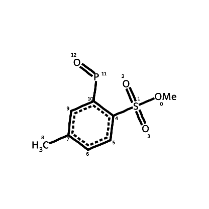 COS(=O)(=O)c1ccc(C)cc1P=O